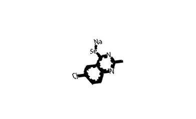 Cc1nc([Se][Na])c2cc(Cl)ccc2n1